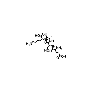 C[C@H](NC(=O)[C@H](CO)NC(=O)[C@@H](N)CCC(=O)O)C(=O)N[C@@H](CCCCN)C(=O)O